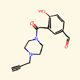 C#CCN1CCN(C(=O)c2cc(C=O)ccc2O)CC1